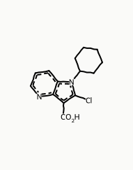 O=C(O)c1c(Cl)n(C2CCCCC2)c2cccnc12